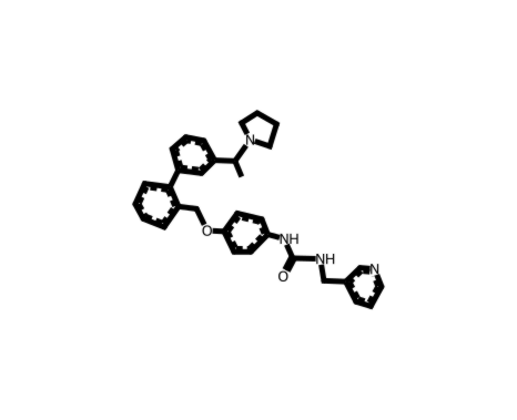 CC(c1cccc(-c2ccccc2COc2ccc(NC(=O)NCc3cccnc3)cc2)c1)N1CCCC1